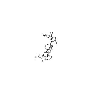 CC(C)OC(=O)c1ccc(F)c(-c2ccc(NCC3(c4ncccc4F)CC(F)C3)nn2)c1